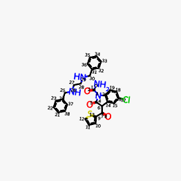 NC(=O)N1C(=O)C(C(=O)c2cccs2)c2cc(Cl)ccc21.c1ccc(CNCCNCc2ccccc2)cc1